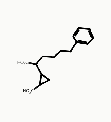 O=C(O)C(CCCCc1ccccc1)C1CC1C(=O)O